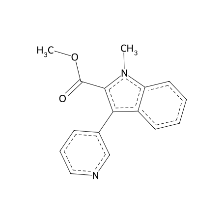 COC(=O)c1c(-c2cccnc2)c2ccccc2n1C